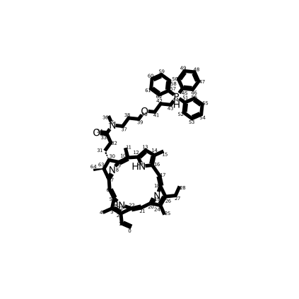 C=Cc1c(C)c2cc3nc(c(C)c4cc(C)c(cc5nc(cc1[nH]2)C(C)=C5CC)[nH]4)[C@@H](CCC(=O)N(C)CCCOCCC[PH](c1ccccc1)(c1ccccc1)c1ccccc1)[C@@H]3C